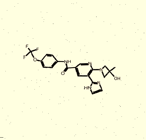 CC1(O)CN(c2ncc(C(=O)Nc3ccc(OC(F)(F)F)cc3)cc2-c2ncc[nH]2)C1